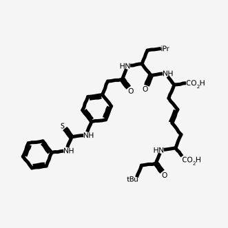 CC(C)CC(NC(=O)Cc1ccc(NC(=S)Nc2ccccc2)cc1)C(=O)NC(CC=CCC(NC(=O)CC(C)(C)C)C(=O)O)C(=O)O